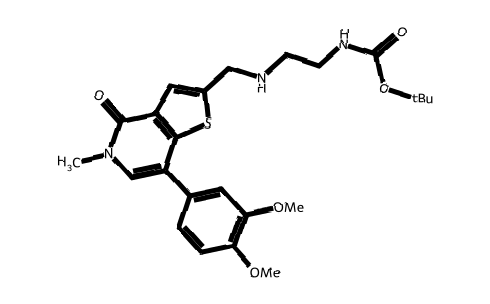 COc1ccc(-c2cn(C)c(=O)c3cc(CNCCNC(=O)OC(C)(C)C)sc23)cc1OC